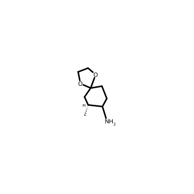 C[C@@H]1CC2(CCC1N)OCCO2